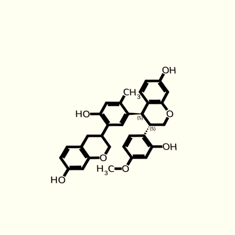 COc1ccc([C@H]2COc3cc(O)ccc3[C@@H]2c2cc(C3COc4cc(O)ccc4C3)c(O)cc2C)c(O)c1